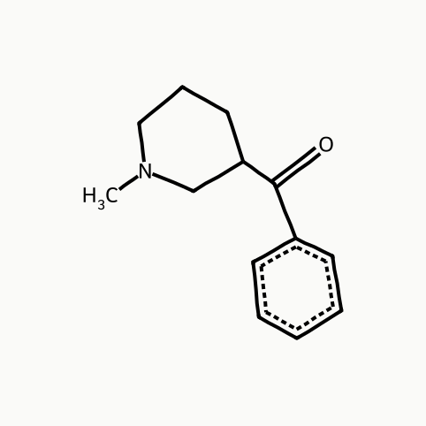 CN1CCCC(C(=O)c2ccccc2)C1